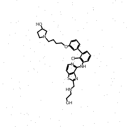 OCCNCc1nc2c(Nc3cccc(-c4cccc(OCCCCN5CCC(O)C5)c4)c3Cl)nccc2s1